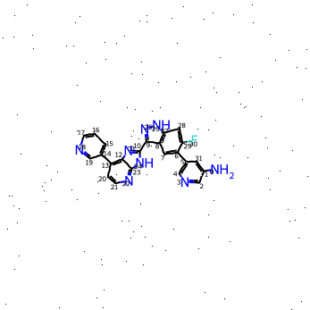 Nc1cncc(-c2cc3c(-c4nc5c(-c6cccnc6)ccnc5[nH]4)n[nH]c3cc2F)c1